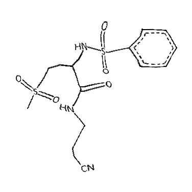 CS(=O)(=O)CC(NS(=O)(=O)c1ccccc1)C(=O)NCCC#N